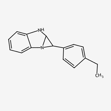 CCc1ccc(C2C3Nc4ccccc4N32)cc1